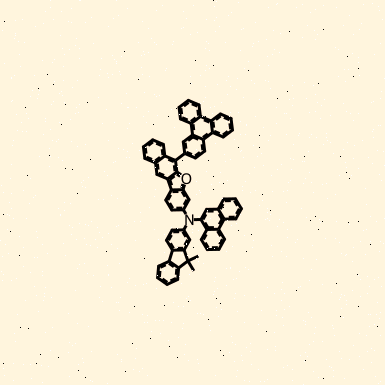 CC1(C)c2ccccc2-c2ccc(N(c3ccc4c(c3)oc3c(-c5ccc6c7ccccc7c7ccccc7c6c5)c5ccccc5cc34)c3cc4ccccc4c4ccccc34)cc21